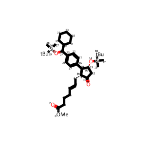 COC(=O)CCCC=CC[C@H]1C(=O)C[C@@H](O[Si](C)(C)C(C)(C)C)C1c1ccc(C(O[Si](C)(C)C(C)(C)C)C2CCCCC2)cc1